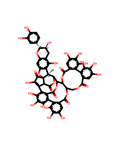 O=C1OCC2OC(=O)c3cc(O)c(O)c(O)c3-c3c(O)c(O)c(O)c4c3C(=O)OC(C2OC(=O)c2cc(O)c(O)c(O)c2-c2c1cc(O)c(O)c2O)C1OC(=O)C2C4=C(O)C(=O)C23Oc2cc4c(c(O)c2[C@@H]13)C[C@H](O)[C@@H](c1ccc(O)c(O)c1)O4